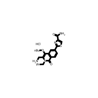 CCCCOc1c(CN)n(CC(C)C)c(=O)c2ccc(-c3nc(C(N)=O)cs3)cc12.Cl